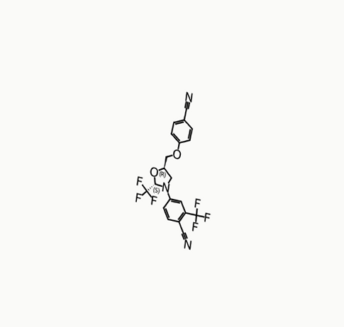 N#Cc1ccc(OC[C@H]2CN(c3ccc(C#N)c(C(F)(F)F)c3)[C@H](C(F)(F)F)O2)cc1